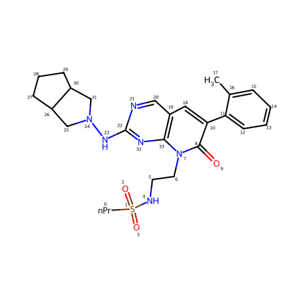 CCCS(=O)(=O)NCCn1c(=O)c(-c2ccccc2C)cc2cnc(NN3CC4CCCC4C3)nc21